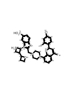 O=C(O)c1ccc2nc(CN3CCN(c4cccc5c4OC(c4ccc(Cl)cc4F)C=C5F)CC3)n([C@@H]3[SiH2]CC3C3CCO3)c2c1